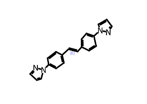 C(=C\c1ccc(-n2cccn2)cc1)/c1ccc(-n2cccn2)cc1